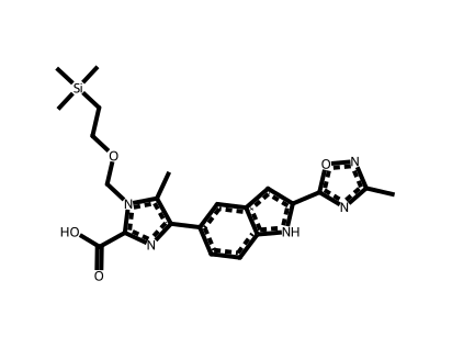 Cc1noc(-c2cc3cc(-c4nc(C(=O)O)n(COCC[Si](C)(C)C)c4C)ccc3[nH]2)n1